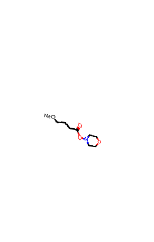 COCCCC(=O)ON1CCOCC1